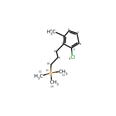 Cc1cccc(Cl)c1CCCS(C)(C)C